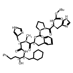 CC(C)CC[C@H](O)[C@H](CC1CCCCC1)NC(=O)[C@H](Cc1c[nH]cn1)N(C)C(=O)[C@H](Cc1ccccc1)OC(=O)N1CCCN1C(=O)[C@H](Cc1c[nH]cn1)NC(=O)OC(C)(C)C